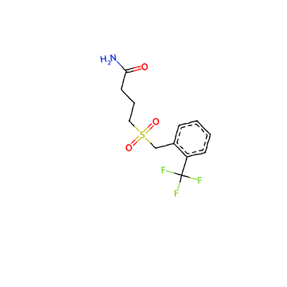 NC(=O)CCCS(=O)(=O)Cc1ccccc1C(F)(F)F